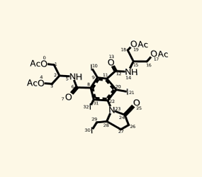 CC(=O)OCC(COC(C)=O)NC(=O)c1c(I)c(C(=O)NC(COC(C)=O)COC(C)=O)c(I)c(N2C(=O)CCC2CI)c1I